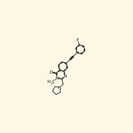 Cn1c(CN2CCCC2)nc2cc(C#Cc3cccc(F)c3)ccc2c1=O